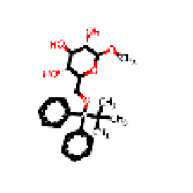 COC1OC(CO[Si](c2ccccc2)(c2ccccc2)C(C)(C)C)[C@H](O)C(O)[C@@H]1O